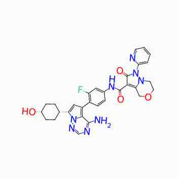 Nc1ncnn2c1c(-c1ccc(NC(=O)c3c4n(n(-c5ccccn5)c3=O)CCOC4)cc1F)cc2[C@H]1CC[C@@H](O)CC1